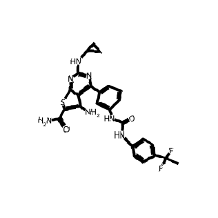 CC(F)(F)c1ccc(NC(=O)Nc2cccc(-c3nc(NC4CC4)nc4sc(C(N)=O)c(N)c34)c2)cc1